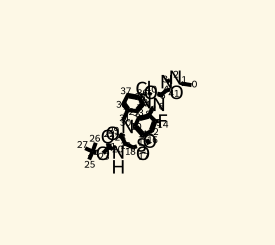 Cc1nnc(-c2nc(-c3cc4c(cc3F)S(=O)(=O)C[C@H](NC(=O)OC(C)(C)C)C(=O)N4Cc3ccc(Cl)cc3)no2)o1